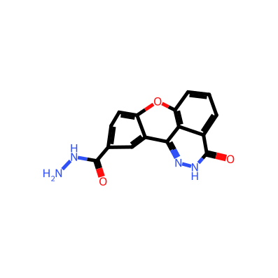 NNC(=O)c1ccc2c(c1)-c1n[nH]c(=O)c3cccc(c13)O2